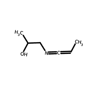 CC=C=NCC(C)O